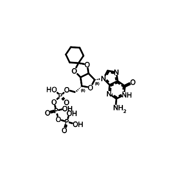 Nc1nc2c(ncn2[C@@H]2O[C@H](COP(=O)(O)OP(=O)(O)OP(=O)(O)O)C3OC4(CCCCC4)OC32)c(=O)[nH]1